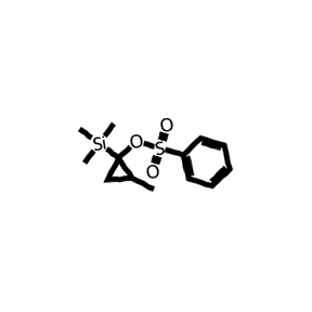 CC1CC1(OS(=O)(=O)c1ccccc1)[Si](C)(C)C